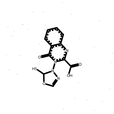 O=C(O)c1nc2ccccc2c(=O)n1N1N=COC1S